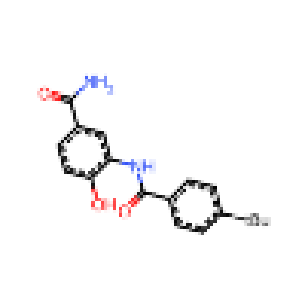 CC(C)(C)c1ccc(C(=O)Nc2cc(C(N)=O)ccc2O)cc1